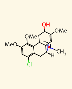 COC1=C[C@H]2[C@H]3Cc4c(Cl)cc(OC)c(OC)c4[C@@]2(CCN3C)CC1O